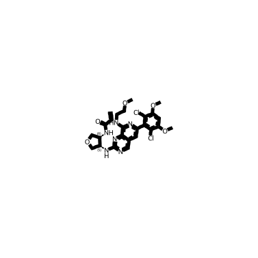 C=CC(=O)N[C@H]1COC[C@H]1Nc1ncc2cc(-c3c(Cl)c(OC)cc(OC)c3Cl)nc(NCCOC)c2n1